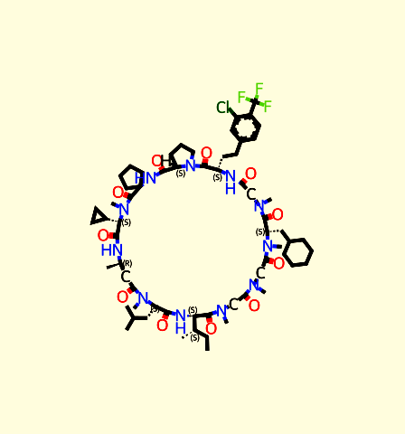 CC[C@H](C)[C@@H]1NC(=O)[C@H](CC(C)C)N(C)C(=O)C[C@@H](C)NC(=O)[C@H](C2CC2)N(C)C(=O)C2(CCCC2)NC(=O)[C@@H]2CCCN2C(=O)[C@H](CCc2ccc(C(F)(F)F)c(Cl)c2)NC(=O)CN(C)C(=O)[C@H](CC2CCCCC2)N(C)C(=O)CN(C)C(=O)CN(C)C1=O